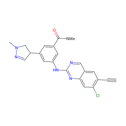 C#Cc1cc2cnc(Nc3cc(C(=O)NC)cc(C4C=NN(C)C4)c3)nc2cc1Cl